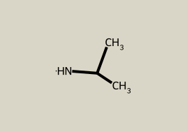 CC(C)[NH]